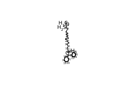 CO[SiH2]CCCSSSSCCC[SiH2]OC(c1ccccc1)c1ccccc1